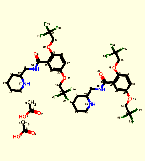 CC(=O)O.CC(=O)O.O=C(NCC1CCCCN1)c1cc(OCC(F)(F)F)ccc1OCC(F)(F)F.O=C(NCC1CCCCN1)c1cc(OCC(F)(F)F)ccc1OCC(F)(F)F